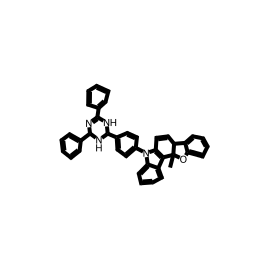 CC12Oc3ccccc3C1C=Cc1c2c2ccccc2n1-c1ccc(C2NC(c3ccccc3)=NC(c3ccccc3)N2)cc1